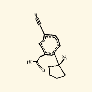 [2H]C1(c2ccc(C#N)cc2C(=O)O)CCCC1